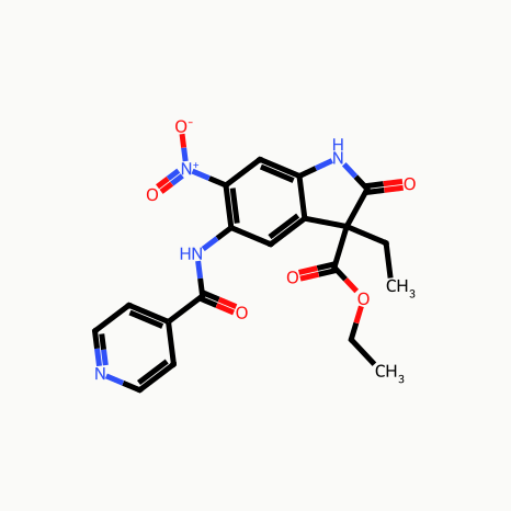 CCOC(=O)C1(CC)C(=O)Nc2cc([N+](=O)[O-])c(NC(=O)c3ccncc3)cc21